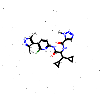 CCn1nncc1C(=O)NC(C(=O)Nc1ccc(-c2c(C)n[nH]c2C)c(F)n1)C(C1CC1)C1CC1